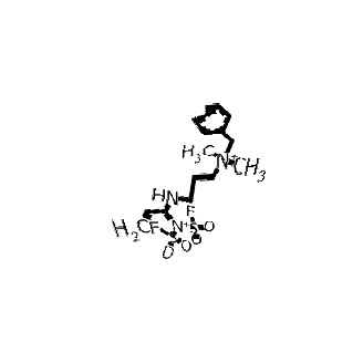 C=CC(NCCC[N+](C)(C)Cc1ccccc1)=[N+](S(=O)(=O)F)S(=O)(=O)F